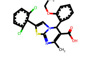 CCOc1ccccc1C1C(C(=O)O)=C(C)N=C2SC(c3c(Cl)cccc3Cl)=CN21